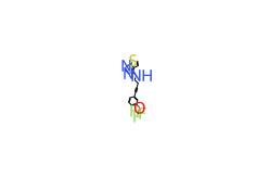 FC(F)(F)Oc1cccc(C#CCCNc2ncnc3sccc23)c1